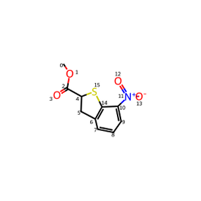 COC(=O)C1Cc2cccc([N+](=O)[O-])c2S1